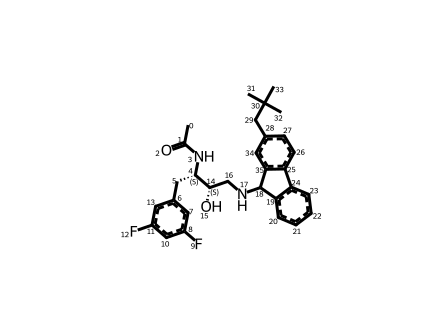 CC(=O)N[C@@H](Cc1cc(F)cc(F)c1)[C@@H](O)CNC1c2ccccc2-c2ccc(CC(C)(C)C)cc21